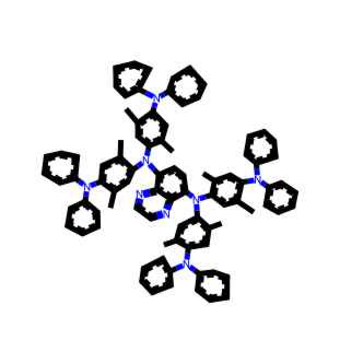 Cc1cc(N(c2cc(C)c(N(c3ccccc3)c3ccccc3)cc2C)c2ccc(N(c3cc(C)c(N(c4ccccc4)c4ccccc4)cc3C)c3cc(C)c(N(c4ccccc4)c4ccccc4)cc3C)c3nccnc23)c(C)cc1N(c1ccccc1)c1ccccc1